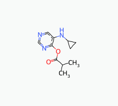 CC(C)C(=O)Oc1ncncc1NC1CC1